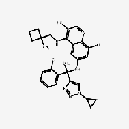 BC(Nc1cc(Cl)c2ncc(C#N)c(NCC3(C)CCC3)c2c1)(c1cn(C2CC2)nn1)c1ccccc1Cl